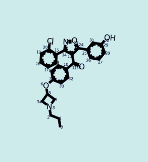 CCCN1CC(Oc2ccc(C(=O)c3c(-c4ccccc4Cl)noc3-c3cccc(O)c3)cc2)C1